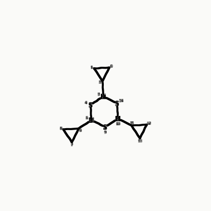 C1C[CH]1[Bi]1[S][Bi]([CH]2CC2)[S][Bi]([CH]2CC2)[S]1